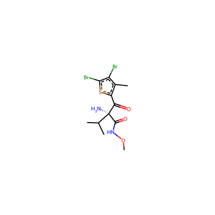 CONC(=O)[C@](N)(C(=O)c1sc(Br)c(Br)c1C)C(C)C